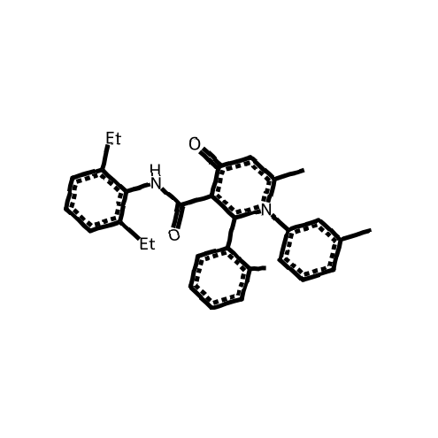 CCc1cccc(CC)c1NC(=O)c1c(-c2ccccc2C)n(-c2cccc(C)c2)c(C)cc1=O